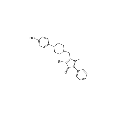 Cn1c(CN2CCC(c3ccc(O)cc3)CC2)c(Br)c(=O)n1-c1ccccc1